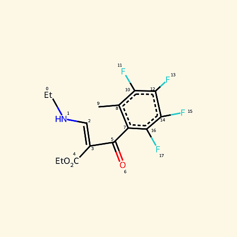 CCNC=C(C(=O)OCC)C(=O)c1c(C)c(F)c(F)c(F)c1F